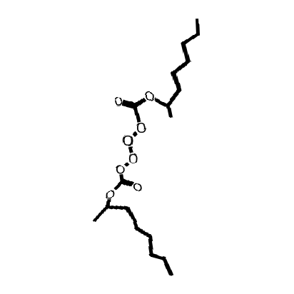 CCCCCCC(C)OC(=O)OOOOC(=O)OC(C)CCCCCC